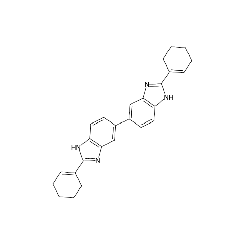 C1=C(c2nc3cc(-c4ccc5[nH]c(C6=CCCCC6)nc5c4)ccc3[nH]2)CCCC1